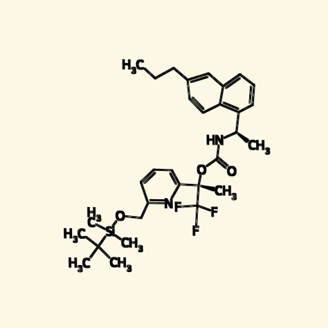 CCCc1ccc2c([C@@H](C)NC(=O)O[C@@](C)(c3cccc(CO[Si](C)(C)C(C)(C)C)n3)C(F)(F)F)cccc2c1